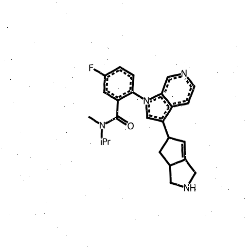 CC(C)N(C)C(=O)c1cc(F)ccc1-n1cc(C2C=C3CNCC3C2)c2ccncc21